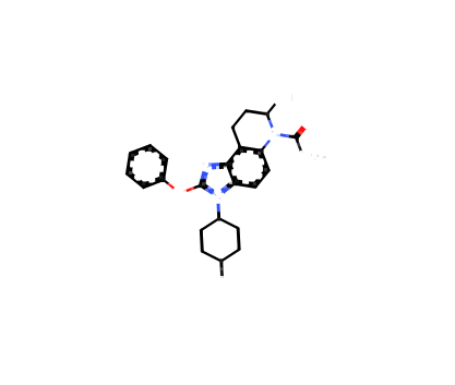 COC(=O)N1c2ccc3c(nc(Oc4ccccc4)n3C3CCC(C(=O)O)CC3)c2CCC1C